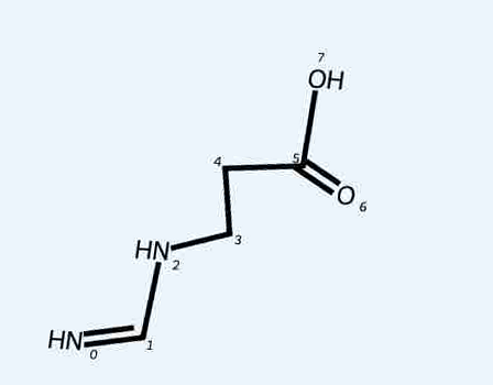 N=CNCCC(=O)O